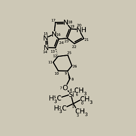 CC(C)(C)[Si](C)(C)OC[C@H]1CC[C@H](c2nnn3cnc4[nH]ccc4c23)CC1